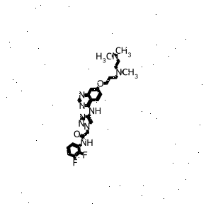 CN(C)CCN(C)CCCOc1ccc2c(Nc3cn(CC(=O)Nc4cccc(F)c4F)nn3)ncnc2c1